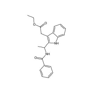 CCOC(=O)Cc1c(C(C)NC(=O)c2ccccc2)[nH]c2ccccc12